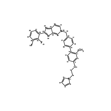 Cc1cc(OCCn2cccc2)ccc1-c1ccc(Cn2ccc3nc(-c4cccc(F)c4F)nc-3c2)cc1